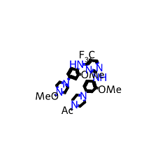 COc1cc(N2CCN(C(C)=O)CC2)ccc1Nc1ncc(C(F)(F)F)c(Nc2ccc(N3CCN(OC)CC3)cc2OC)n1